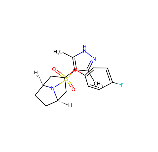 Cc1n[nH]c(C)c1S(=O)(=O)N1[C@@H]2CC[C@H]1CC(Oc1ccc(F)cc1)C2